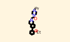 CCOc1ccccc1-c1ccc2c(c1)CCN(CC(=O)N1CCN(C(C)C)CC1)C2